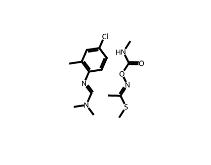 CNC(=O)O/N=C(\C)SC.Cc1cc(Cl)ccc1N=CN(C)C